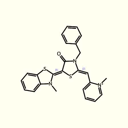 CN1/C(=c2\s/c(=C\c3cccc[n+]3C)n(Cc3ccccc3)c2=O)Sc2ccccc21